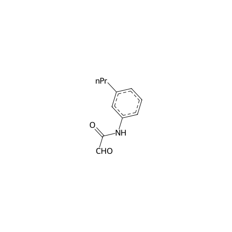 CCCc1cccc(NC(=O)C=O)c1